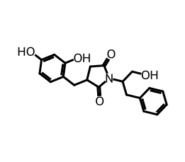 O=C1CC(Cc2ccc(O)cc2O)C(=O)N1C(CO)Cc1ccccc1